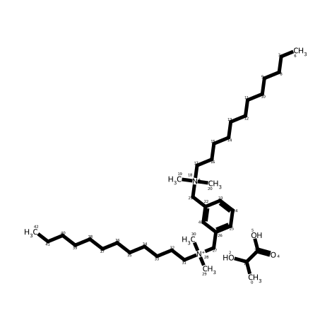 CC(O)C(=O)O.CCCCCCCCCCCC[N+](C)(C)Cc1cccc(C[N+](C)(C)CCCCCCCCCCCC)c1